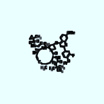 CC[C@@H]1C[C@H](C)CC/C=C\[C@@H]2C[C@@]2(C(=O)NS(=O)(=O)C2(C)CC2)NC(=O)[C@@H]2C[C@@H](Oc3cc(-c4ccc(OC(C)C)c(F)c4)nc4cc(OC)ccc34)CN2C(=O)[C@H]1NC(=O)OC(C)(C)C(F)(F)F